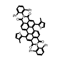 Cc1ccsc1-c1cc2c3c(ccc4c5c(-c6sccc6C)cc6c7c(ccc(c1c34)c75)C(=O)N(c1c(C(C)C)cccc1C(C)C)C6=O)C(=O)N(c1c(C(C)C)cccc1C(C)C)C2=O